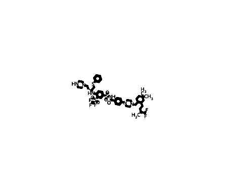 C=C(CCC1=C(CN2CCN(c3ccc(C(=O)NS(=O)(=O)c4ccc(N[C@H](CCN5CCNCC5)CSc5ccccc5)c(S(=O)(=O)C(F)(F)F)c4)cc3)CC2)CCC(C)(C)C1)C(F)F